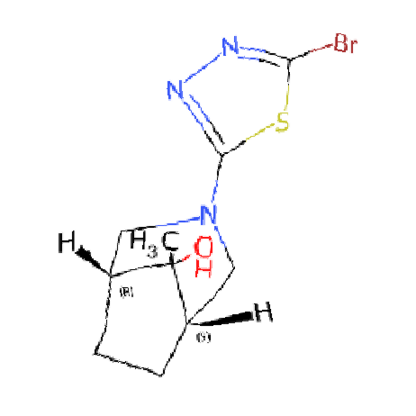 CC1(O)[C@@H]2CC[C@H]1CN(c1nnc(Br)s1)C2